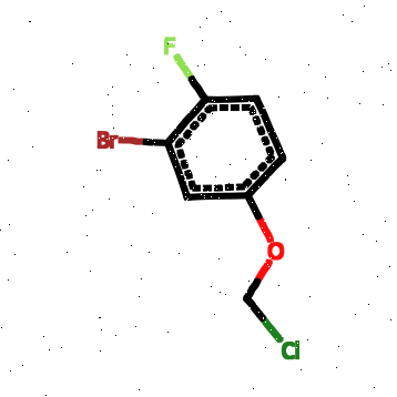 Fc1ccc(OCCl)cc1Br